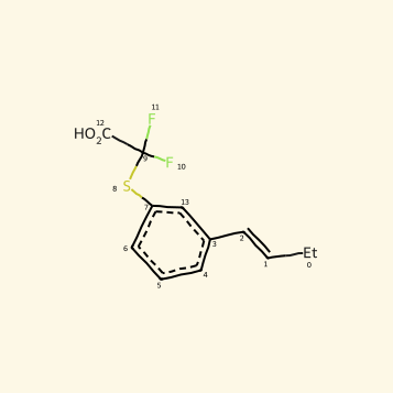 CC/C=C/c1cccc(SC(F)(F)C(=O)O)c1